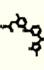 Cc1cc(Nc2cncc(Nc3ccc(C)c(CC(N)=O)c3)n2)n[nH]1